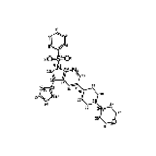 O=S(=O)(c1ccccc1)n1cc(-c2nccs2)c2cc(C3CCC(N4CCOCC4)CC3)cnc21